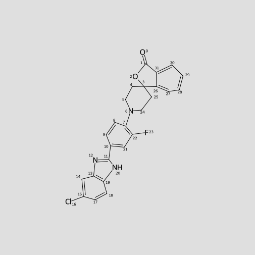 O=C1OC2(CCN(c3ccc(-c4nc5cc(Cl)ccc5[nH]4)cc3F)CC2)c2ccccc21